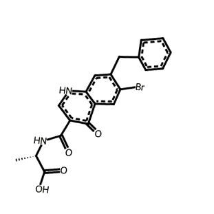 C[C@H](NC(=O)c1c[nH]c2cc(Cc3ccccc3)c(Br)cc2c1=O)C(=O)O